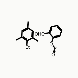 CCc1c(C)cc(C)cc1C.O=Cc1ccccc1OP=O